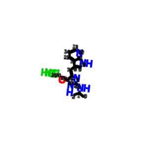 CC(C)NC1=N/C(=C\c2c[nH]c3ncccc23)C(=O)N1.Cl.Cl